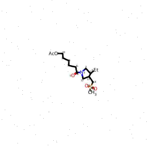 CCC1CN(C(=O)CCCCCOC(C)=O)CC1CS(C)(=O)=O